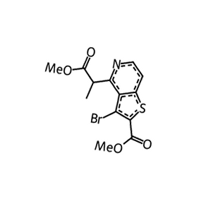 COC(=O)c1sc2ccnc(C(C)C(=O)OC)c2c1Br